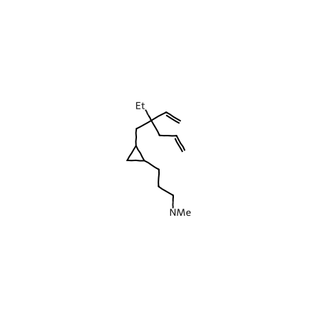 C=CCC(C=C)(CC)CC1CC1CCCNC